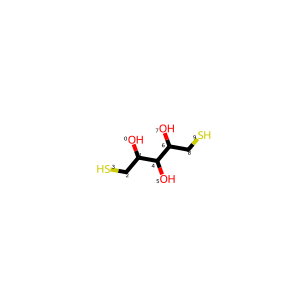 OC(CS)C(O)C(O)CS